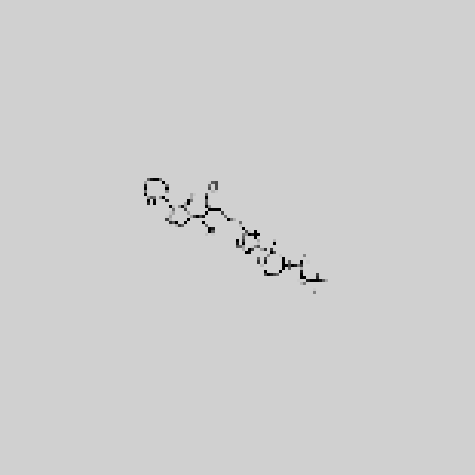 CC(C)(C)OC(=O)N1CCOC(C)(c2coc(CCCc3c(Cl)cc4c(cnn4C4CCCCO4)c3Br)n2)C1